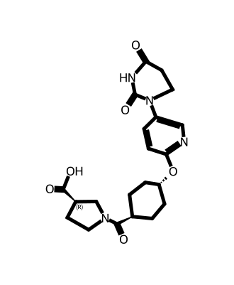 O=C1CCN(c2ccc(O[C@H]3CC[C@H](C(=O)N4CC[C@@H](C(=O)O)C4)CC3)nc2)C(=O)N1